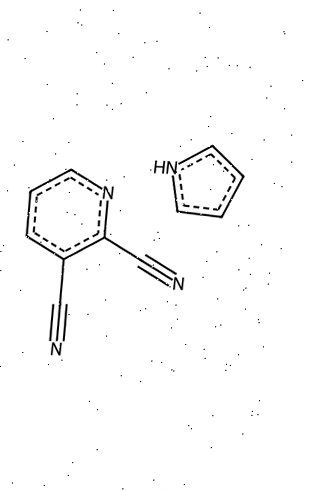 N#Cc1cccnc1C#N.c1cc[nH]c1